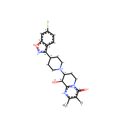 CCc1c(C)nc2n(c1=O)CCC(N1CCC(c3noc4cc(F)ccc34)CC1)C2O